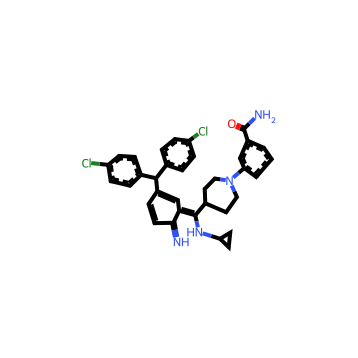 N=C1C=CC(C(c2ccc(Cl)cc2)c2ccc(Cl)cc2)=C/C1=C(/NC1CC1)C1CCN(c2cccc(C(N)=O)c2)CC1